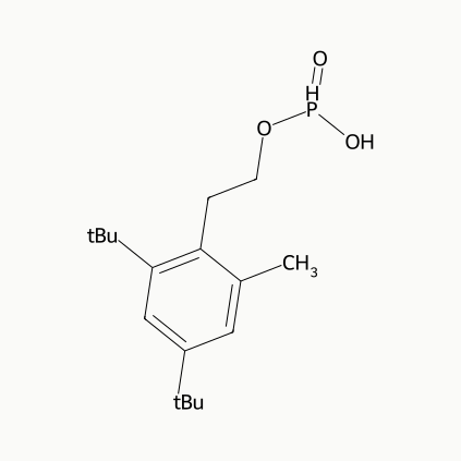 Cc1cc(C(C)(C)C)cc(C(C)(C)C)c1CCO[PH](=O)O